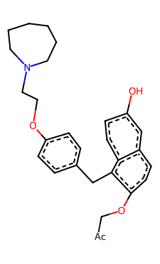 CC(=O)COc1ccc2cc(O)ccc2c1Cc1ccc(OCCN2CCCCCC2)cc1